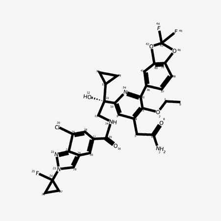 CCOc1c(CC(N)=O)cc([C@@](O)(CNC(=O)c2cc(Cl)c3nn(C4(F)CC4)cc3c2)C2CC2)nc1-c1ccc2c(c1)OC(F)(F)O2